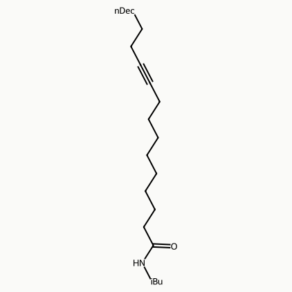 CCCCCCCCCCCCC#CCCCCCCCCC(=O)NC(C)CC